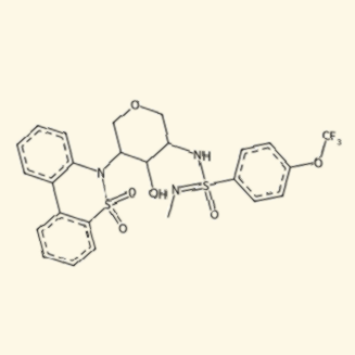 CN=S(=O)(NC1COCC(N2c3ccccc3-c3ccccc3S2(=O)=O)C1O)c1ccc(OC(F)(F)F)cc1